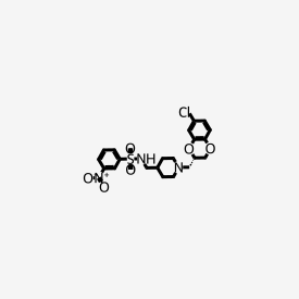 O=[N+]([O-])c1cccc(S(=O)(=O)NCC2CCN(C[C@H]3COc4ccc(Cl)cc4O3)CC2)c1